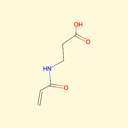 [CH]=CC(=O)NCCC(=O)O